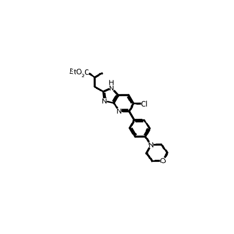 CCOC(=O)C(C)Cc1nc2nc(-c3ccc(N4CCOCC4)cc3)c(Cl)cc2[nH]1